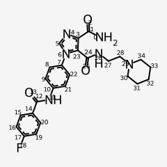 NC(=O)c1ncn(-c2ccc(NC(=O)c3ccc(F)cc3)cc2)c1C(=O)NCCN1CCCCC1